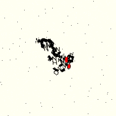 CC(=O)N1CCN(C(=O)N[C@H]2[C@@H]3CC[C@H]2CN(c2nnc(-c4cnc(-c5ccc6cc(C#N)cnn56)cc4NC(C)C)s2)C3)CC1